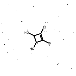 CCC1=C(CC)C(O)C1O